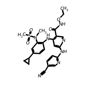 CCONC(=O)c1cnc(Nc2ccc(C#N)cn2)cc1Nc1ccc(C2CC2)cc1N(C)S(C)(=O)=O